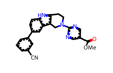 COC(=O)c1cnc(N2CCc3[nH]c4ccc(-c5cccc(C#N)c5)cc4c3C2)nc1